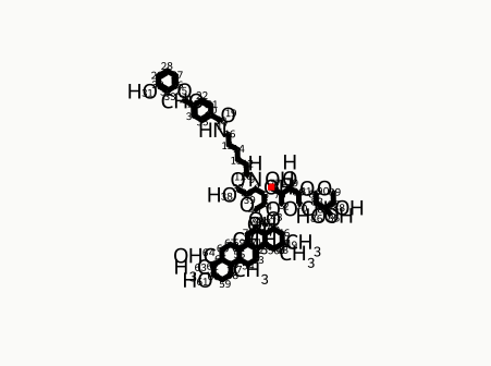 CC1O[C@@H](OC2C(O)[C@@H](NC(=O)CCCCCNC(=O)c3ccc(COc4cccc(O)c4C=O)cc3)C(CO)O[C@H]2OC(=O)[C@]23CCC(C)(C)CC2C2=CCC4C5(C)CC[C@H](O)C(C)(C=O)C5CCC4(C)C2(C)CC3O)C(CO)C(O)[C@H]1O[C@H]1CC(O)(O)[C@H](O)CO1